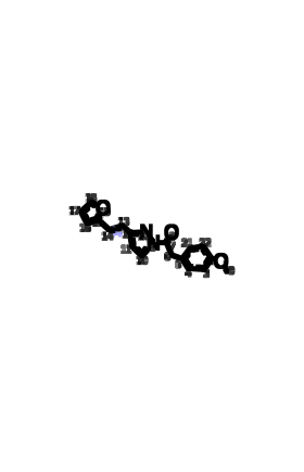 COc1ccc(CC(=O)n2ccc(/C=C/c3ccco3)n2)cc1